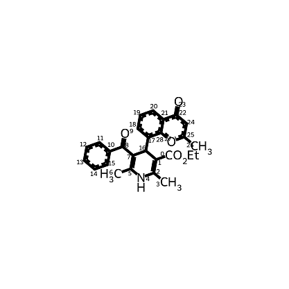 CCOC(=O)C1=C(C)NC(C)=C(C(=O)c2ccccc2)C1c1cccc2c(=O)cc(C)oc12